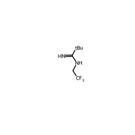 CC(C)(C)C(=N)NCC(F)(F)F